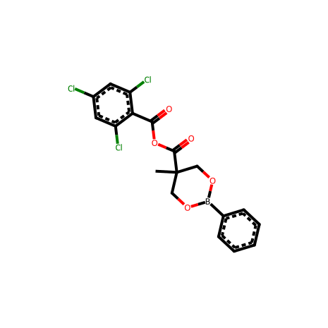 CC1(C(=O)OC(=O)c2c(Cl)cc(Cl)cc2Cl)COB(c2ccccc2)OC1